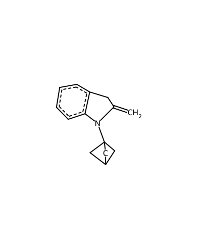 C=C1Cc2ccccc2N1C12CC(C1)C2